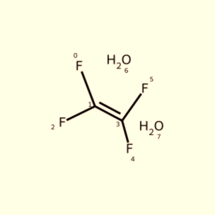 FC(F)=C(F)F.O.O